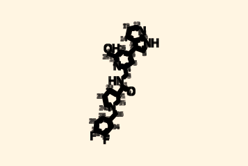 O=C(NCc1cc(-c2c[nH]c3ncccc23)cc(CO)n1)C1=CC=CN(Cc2ccc(F)c(F)c2)C1